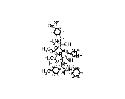 CC[C@H](C)[C@@H](C(=O)OC)N(C(=O)CC(O)[C@@H](N)Cc1ccc([N+](=O)[O-])cc1)C(=O)[C@H](Cc1c[nH]cn1)NC(=O)[C@H](Cc1ccccc1)NS(=O)(=O)c1ccc(C)cc1